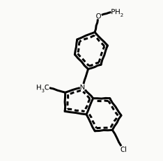 Cc1cc2cc(Cl)ccc2n1-c1ccc(OP)cc1